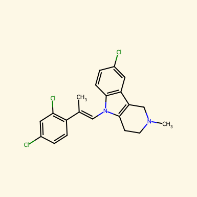 CC(=Cn1c2c(c3cc(Cl)ccc31)CN(C)CC2)c1ccc(Cl)cc1Cl